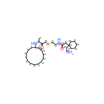 CC(NC1CCCCCCCCCCCCC1)C(=O)CSCCNC(=O)CC1(CN)CCCCC1